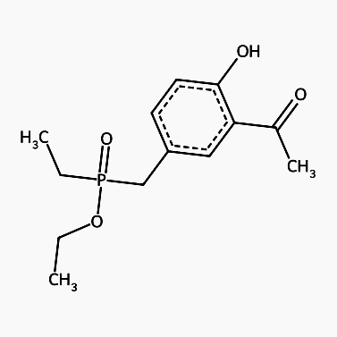 CCOP(=O)(CC)Cc1ccc(O)c(C(C)=O)c1